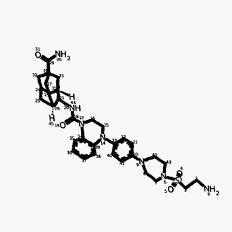 NCCS(=O)(=O)N1CCN(c2ccc(N3CCN(C(=O)NC4[C@@H]5CC6C[C@H]4CC(C(N)=O)(C6)C5)c4ccccc43)cc2)CC1